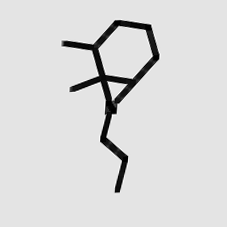 CCCN1C2CCCC(C)C21C